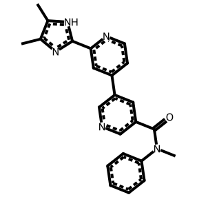 Cc1nc(-c2cc(-c3cncc(C(=O)N(C)c4ccccc4)c3)ccn2)[nH]c1C